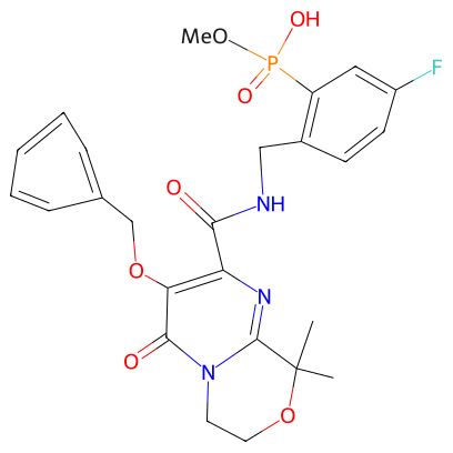 COP(=O)(O)c1cc(F)ccc1CNC(=O)c1nc2n(c(=O)c1OCc1ccccc1)CCOC2(C)C